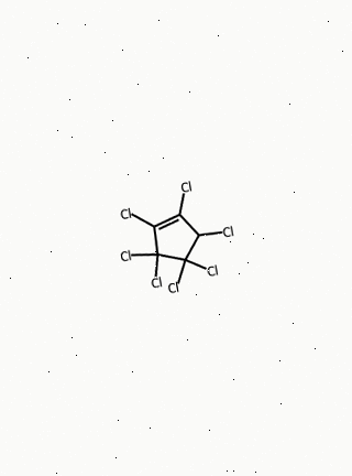 ClC1=C(Cl)C(Cl)(Cl)C(Cl)(Cl)C1Cl